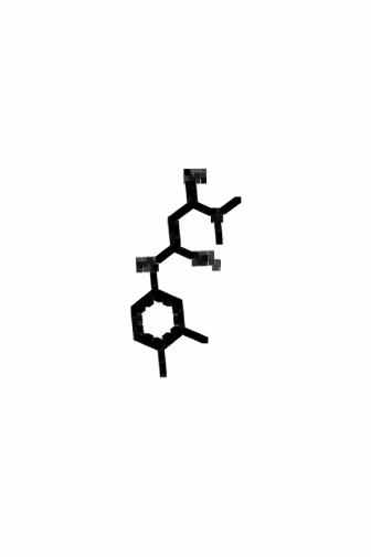 Cc1ccc(N/C(N)=C/C(=N)N(C)C)cc1C